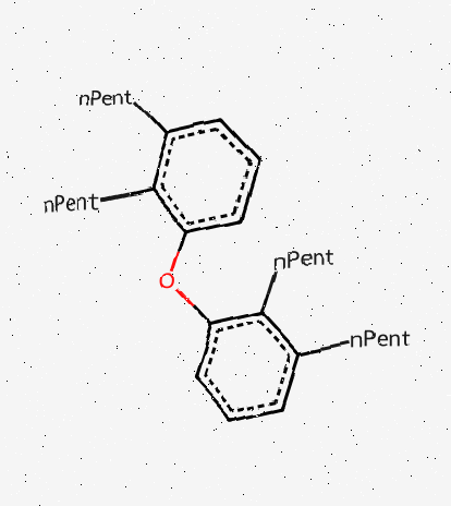 CCCCCc1cccc(Oc2cccc(CCCCC)c2CCCCC)c1CCCCC